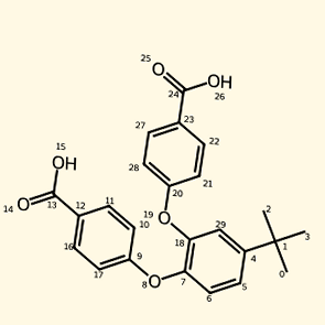 CC(C)(C)c1ccc(Oc2ccc(C(=O)O)cc2)c(Oc2ccc(C(=O)O)cc2)c1